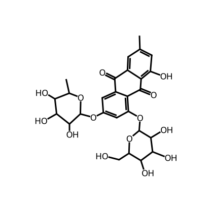 Cc1cc(O)c2c(c1)C(=O)c1cc(OC3OC(C)C(O)C(O)C3O)cc(OC3OC(CO)C(O)C(O)C3O)c1C2=O